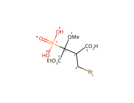 CCOC(=O)C(OC)(C(CBr)C(=O)O)P(=O)(O)O